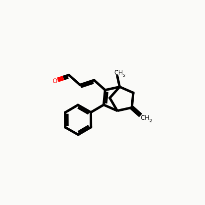 C=C1CC2(C)CC1C(c1ccccc1)=C2C=CC=O